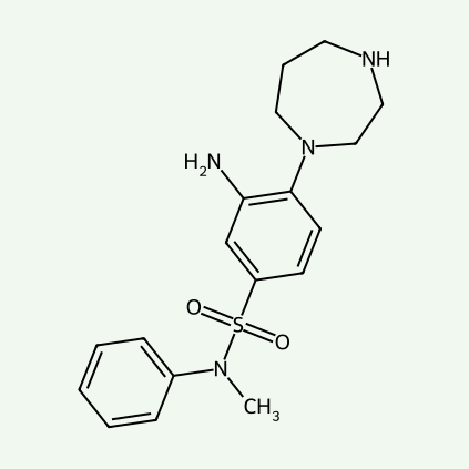 CN(c1ccccc1)S(=O)(=O)c1ccc(N2CCCNCC2)c(N)c1